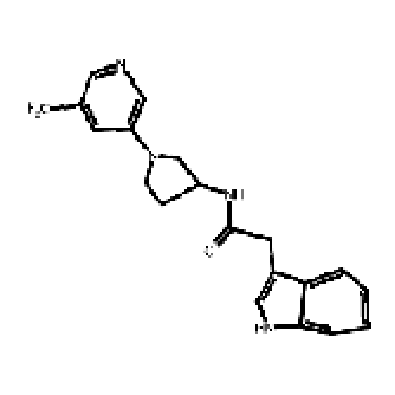 O=C(Cc1c[nH]c2ccccc12)NC1CCN(c2cncc(C(F)(F)F)c2)C1